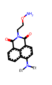 CCN(CC)c1ccc2c3c(cccc13)C(=O)N(CCON)C2=O